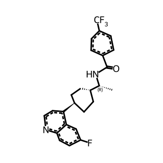 C[C@@H](NC(=O)c1ccc(C(F)(F)F)cc1)[C@H]1CC[C@H](c2ccnc3ccc(F)cc32)CC1